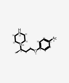 CC(=O)c1ccc(OCC[C@@H](C)N2CCNCC2)cc1